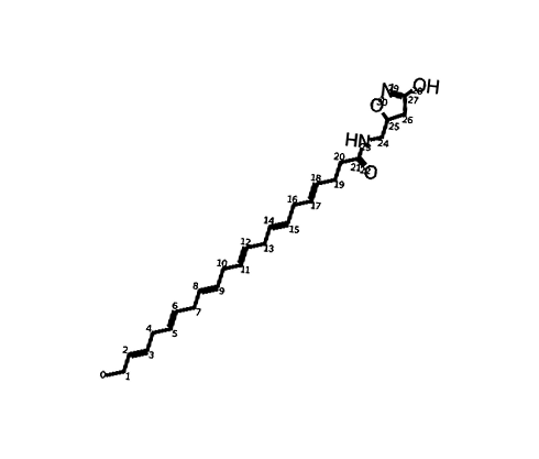 CCC=CCC=CCC=CCC=CCC=CCC=CCCC(=O)NCC1CC(O)=NO1